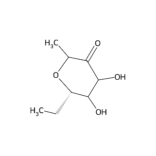 CC[C@@H]1OC(C)C(=O)C(O)C1O